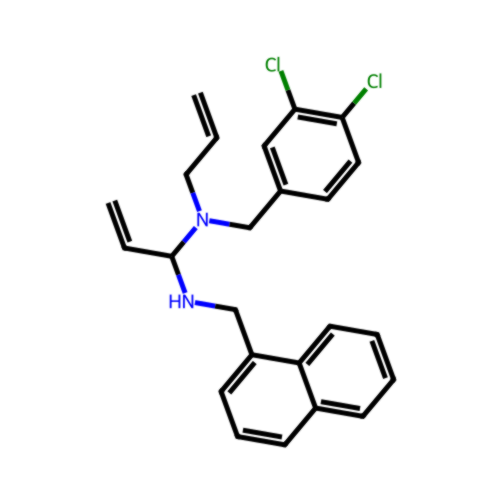 C=CCN(Cc1ccc(Cl)c(Cl)c1)C(C=C)NCc1cccc2ccccc12